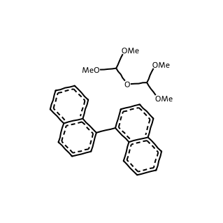 COC(OC)OC(OC)OC.c1ccc2c(-c3cccc4ccccc34)cccc2c1